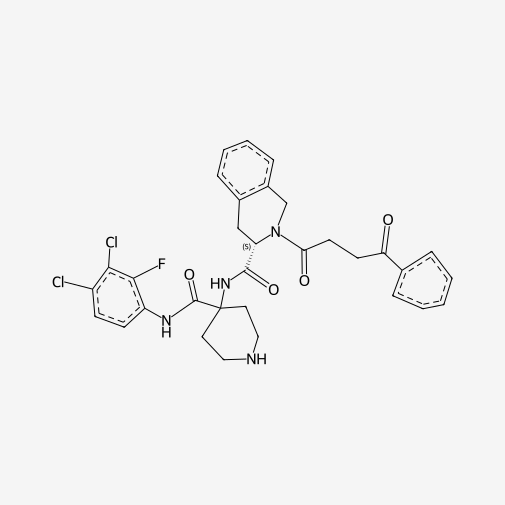 O=C(CCC(=O)N1Cc2ccccc2C[C@H]1C(=O)NC1(C(=O)Nc2ccc(Cl)c(Cl)c2F)CCNCC1)c1ccccc1